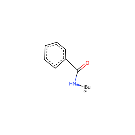 CC[C@H](C)NC(=O)c1ccccc1